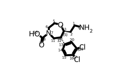 NCC[C@@H]1OCCN(C(=O)O)C[C@H]1c1ccc(Cl)c(Cl)c1